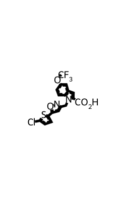 O=C(O)c1cc2cc(OC(F)(F)F)ccc2n1Cc1cc(-c2ccc(Cl)s2)on1